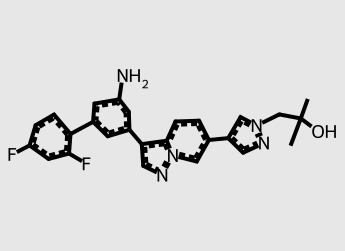 CC(C)(O)Cn1cc(-c2ccc3c(-c4cc(N)cc(-c5ccc(F)cc5F)c4)cnn3c2)cn1